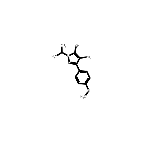 CSc1ccc(-c2nn(C(C)C)c(O)c2C)cc1